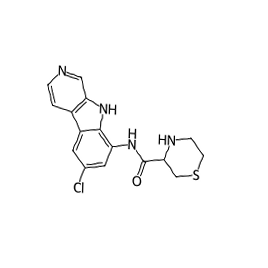 O=C(Nc1cc(Cl)cc2c1[nH]c1cnccc12)C1CSCCN1